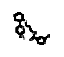 O=C(NCCCOc1ccccc1-c1ccc([N+](=O)[O-])cn1)c1ccnc(Cl)c1